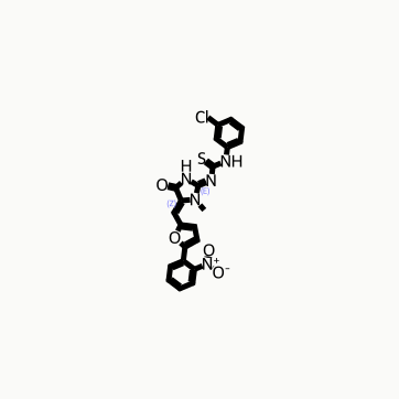 CN1/C(=C\c2ccc(-c3ccccc3[N+](=O)[O-])o2)C(=O)N/C1=N\C(=S)Nc1cccc(Cl)c1